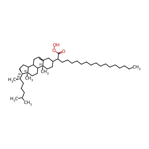 CCCCCCCCCCCCCCCCC(C(=O)OO)C1CC[C@@]2(C)C(=CCC3C2CC[C@@]2(C)C3CC[C@@H]2[C@H](C)CCCC(C)C)C1